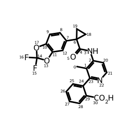 Cc1c(NC(=O)C2(c3ccc4c(c3)OC(F)(F)O4)CC2)ccnc1-c1ccccc1C(=O)O